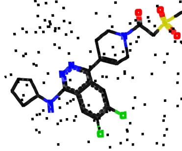 CS(=O)(=O)CC(=O)N1CC=C(c2nnc(NC3CCCC3)c3cc(Cl)c(Cl)cc23)CC1